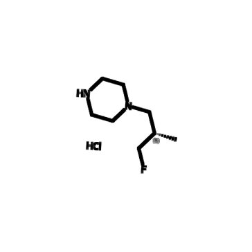 C[C@H](CF)CN1CCNCC1.Cl